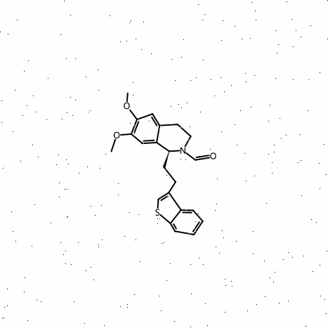 COc1cc2c(cc1OC)[C@H](CCc1csc3ccccc13)N(C=O)CC2